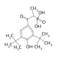 CC(C(=O)c1cc(C(C)(C)C)c(O)c(C(C)(C)C)c1)P(=O)(O)O